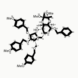 COc1ccc(COC[C@@H]2[C@@H](OCc3ccc(OC)cc3)[C@H](OCc3ccc(OC)cc3)CN2C[C@H]2O[C@@H](OCc3ccccc3)[C@@H]3O[C@@](C)(OC)[C@](C)(OC)O[C@H]3[C@H]2O)cc1